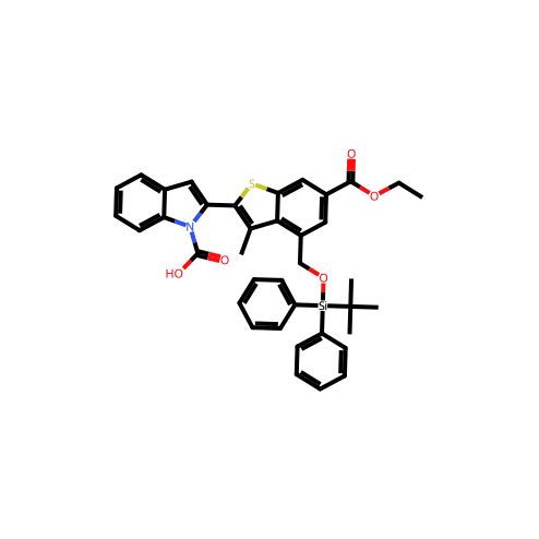 CCOC(=O)c1cc(CO[Si](c2ccccc2)(c2ccccc2)C(C)(C)C)c2c(C)c(-c3cc4ccccc4n3C(=O)O)sc2c1